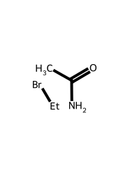 CC(N)=O.CCBr